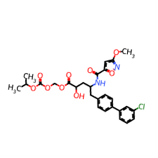 COc1cc(C(=O)NC(Cc2ccc(-c3cccc(Cl)c3)cc2)CC(O)C(=O)OCOC(=O)OC(C)C)on1